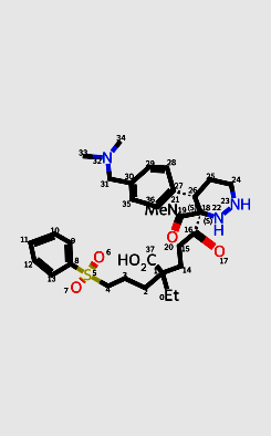 CCC(CCCS(=O)(=O)c1ccccc1)(CCC(=O)[C@@]1(C(=O)NC)NNCC[C@H]1c1ccc(CN(C)C)cc1)C(=O)O